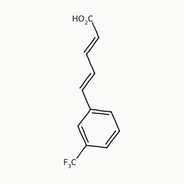 O=C(O)C=CC=Cc1cccc(C(F)(F)F)c1